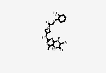 Cc1nc(NC2CN(C(=O)COc3ccccc3C(F)(F)F)C2)nc2c1NC(=O)C(C(C)C)N2C